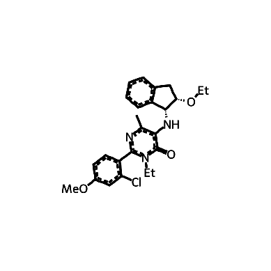 CCO[C@H]1Cc2ccccc2[C@H]1Nc1c(C)nc(-c2ccc(OC)cc2Cl)n(CC)c1=O